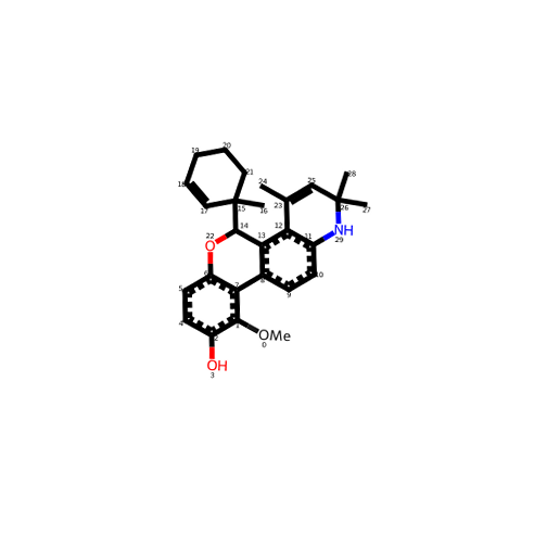 COc1c(O)ccc2c1-c1ccc3c(c1C(C1(C)C=CCCC1)O2)C(C)=CC(C)(C)N3